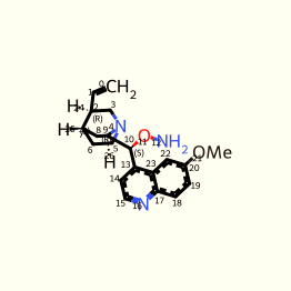 C=C[C@H]1CN2CC[C@H]1C[C@@H]2[C@@H](ON)c1ccnc2ccc(OC)cc12